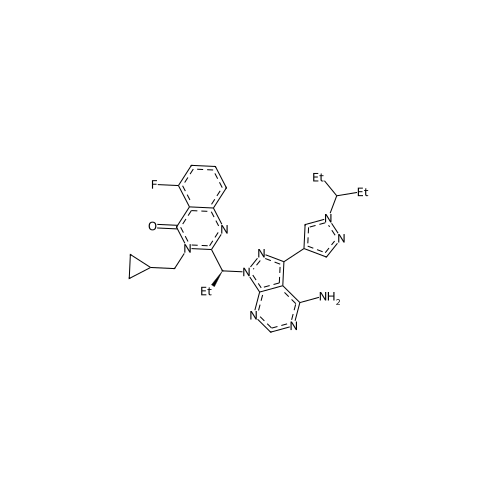 CCC(CC)n1cc(-c2nn([C@@H](CC)c3nc4cccc(F)c4c(=O)n3CC3CC3)c3ncnc(N)c23)cn1